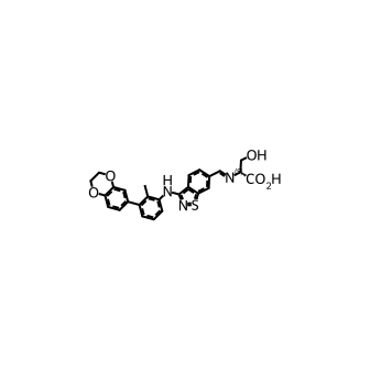 Cc1c(Nc2nsc3cc(C=N[C@@H](CO)C(=O)O)ccc23)cccc1-c1ccc2c(c1)OCCO2